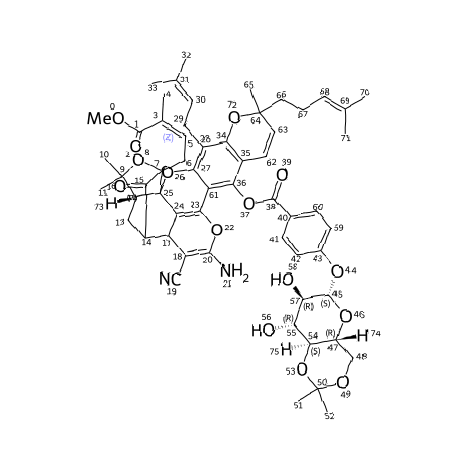 COC(=O)/C(C)=C\CC12OC(C)(C)[C@H]3CC(C1=O)C1C(C#N)=C(N)OC4=C1C32Oc1c(CC=C(C)C)c2c(c(OC(=O)c3ccc(O[C@@H]5O[C@@H]6COC(C)(C)O[C@H]6[C@H](O)[C@H]5O)cc3)c14)C=CC(C)(CCC=C(C)C)O2